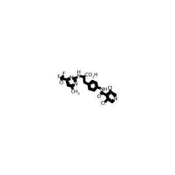 Cc1cc(C(F)(F)Cl)nc(NC(Cc2ccc(NC(=O)c3c(Cl)cncc3Cl)cc2)C(=O)O)n1